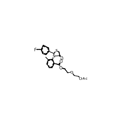 CC(=O)OCCOCCOC(=O)c1cccc(C)c1N1C(=O)CSC1c1ccc(F)cc1